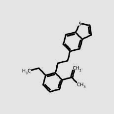 C=C(C)c1cccc(CC)c1CCc1ccc2sccc2c1